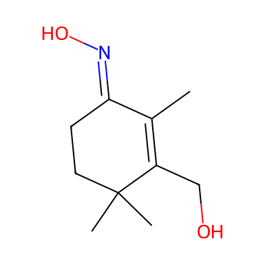 CC1=C(CO)C(C)(C)CCC1=NO